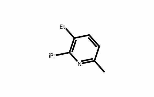 CCc1ccc(C)nc1C(C)C